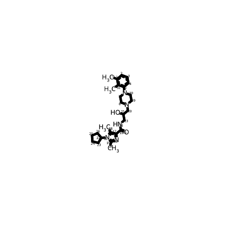 Cc1cccc(N2CCN(CC(O)CNC(=O)c3nc(C)n(C4CCCC4)c3C)CC2)c1C